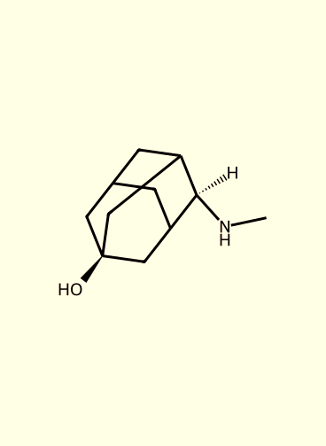 CN[C@H]1C2CC3CC1C[C@@](O)(C3)C2